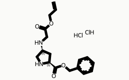 C=CCOC(=O)CN[C@H]1CN[C@H](C(=O)OCc2ccccc2)C1.Cl.Cl